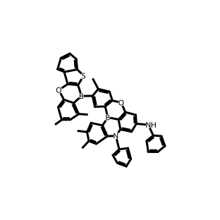 Cc1cc(C)c2c(c1)Oc1c(sc3ccccc13)B2c1cc2c(cc1C)Oc1cc(Nc3ccccc3)cc3c1B2c1cc(C)c(C)cc1N3c1ccccc1